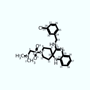 CN(C)CS(=O)(=O)N1CCC2(CC1)Nc1ccccc1N=C2NCc1cccc(Cl)c1